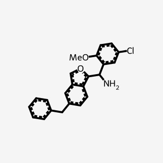 COc1ccc(Cl)cc1C(N)c1occ2cc(Cc3ccccc3)ccc12